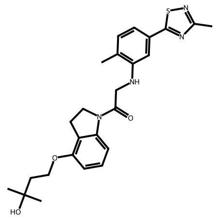 Cc1nsc(-c2ccc(C)c(NCC(=O)N3CCc4c(OCCC(C)(C)O)cccc43)c2)n1